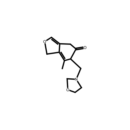 CC1=C2COC=C2CC(=O)C1CN1CCOC1